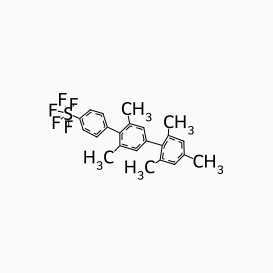 Cc1cc(C)c(-c2cc(C)c(-c3ccc(S(F)(F)(F)(F)F)cc3)c(C)c2)c(C)c1